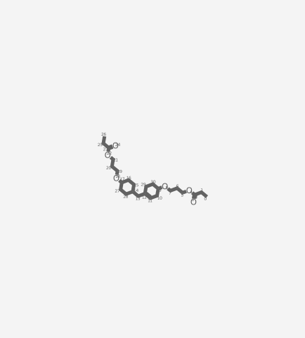 CCC(=O)OCCCOC1CC=C(CC2CCC(OCCCOC(=O)CC)CC2)CC1